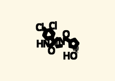 O=C(C1CC[C@H](CO)C1)N1CC[C@]2(C1)C(=O)Nc1cc(Cl)c(Cl)cc12